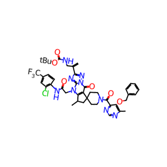 C=C(CNC(=O)OC(C)(C)C)c1nc2n(CC(=O)Nc3ccc(C(F)(F)F)cc3Cl)c3c(c(=O)n2n1)C1(CCN(C(=O)c2ncnc(C)c2OCc2ccccc2)CC1)CC3C